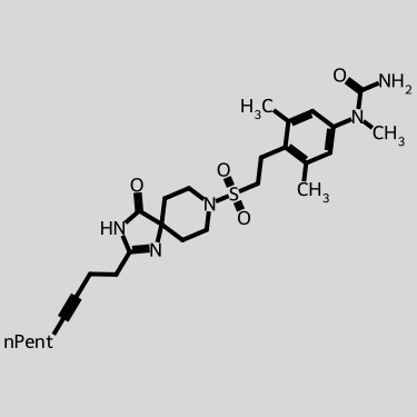 CCCCCC#CCCC1=NC2(CCN(S(=O)(=O)CCc3c(C)cc(N(C)C(N)=O)cc3C)CC2)C(=O)N1